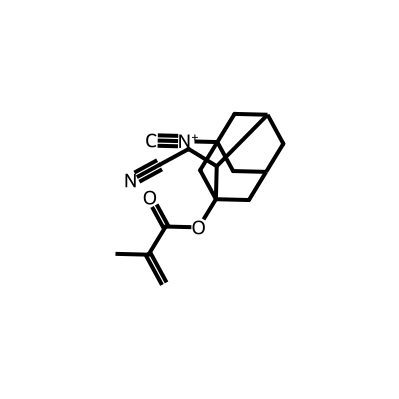 [C-]#[N+]C12CC3CC(C1)C(CC#N)C(OC(=O)C(=C)C)(C3)C2